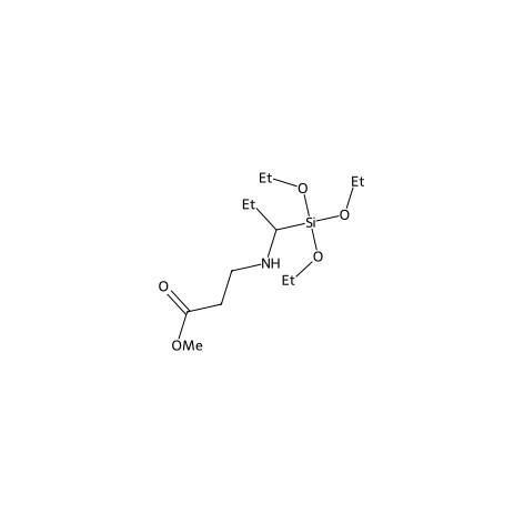 CCO[Si](OCC)(OCC)C(CC)NCCC(=O)OC